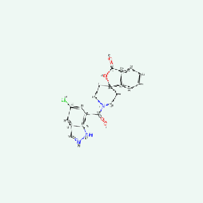 O=C1OC2(CCN(C(=O)c3cc(Cl)cc4cn[nH]c34)CC2)c2ccccc21